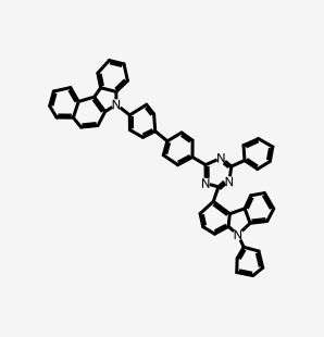 c1ccc(-c2nc(-c3ccc(-c4ccc(-n5c6ccccc6c6c7ccccc7ccc65)cc4)cc3)nc(-c3cccc4c3c3ccccc3n4-c3ccccc3)n2)cc1